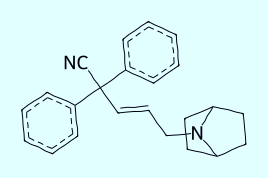 N#CC(C=CCN1C2CCC1CC2)(c1ccccc1)c1ccccc1